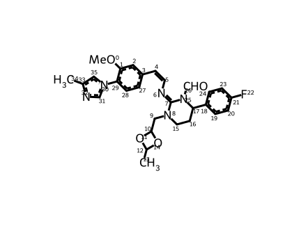 COc1cc(/C=C\N=C2\N(CC3OC(C)O3)CCC(c3ccc(F)cc3)N2C=O)ccc1-n1cnc(C)c1